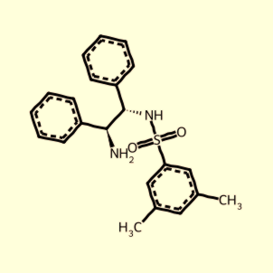 Cc1cc(C)cc(S(=O)(=O)N[C@@H](c2ccccc2)[C@@H](N)c2ccccc2)c1